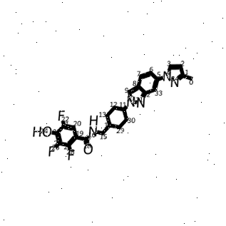 Cc1ccn(-c2ccc3cn(C4CCC(CNC(=O)c5cc(F)c(O)c(F)c5F)CC4)nc3c2)n1